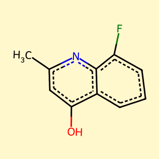 Cc1cc(O)c2cccc(F)c2n1